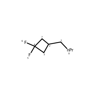 CCC[CH]C1CC(F)(F)C1